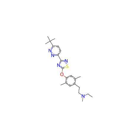 CCN(C)CCc1cc(C)c(Oc2nc(-c3ccc(C(C)(C)C)nn3)ns2)cc1C